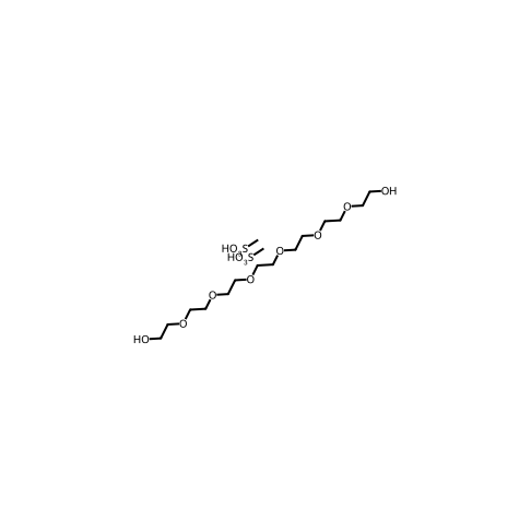 CS(=O)(=O)O.CS(=O)(=O)O.OCCOCCOCCOCCOCCOCCOCCO